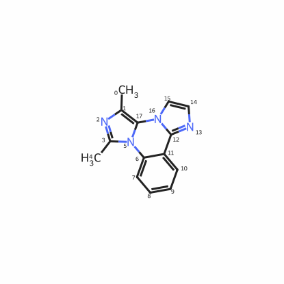 Cc1nc(C)n2c3ccccc3c3nccn3c12